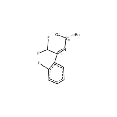 CC(C)(C)[S@@+]([O-])/N=C(/c1ccccc1F)C(F)F